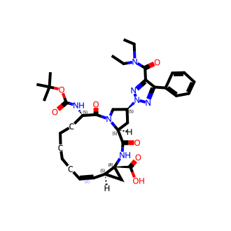 CCN(CC)C(=O)c1nn([C@H]2C[C@H]3C(=O)N[C@]4(C(=O)O)C[C@H]4/C=C\CCCCC[C@H](NC(=O)OC(C)(C)C)C(=O)N3C2)nc1-c1ccccc1